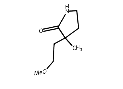 COCCC1(C)CCNC1=O